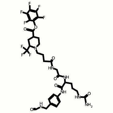 NC(=O)NCCCC(NC(=O)CNC(=O)CCCN1CCC(C(=O)Oc2c(F)c(F)c(F)c(F)c2F)CC1C(F)(F)F)C(=O)Nc1ccc(CNC=O)cc1